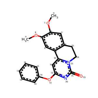 COc1cc2c(cc1OC)-c1cc(Oc3ccccc3)nc(=O)n1CC2